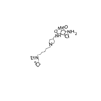 CCN(CCCCCCN1CCC(CNC(=O)c2cc(Cl)c(N)cc2OC)CC1)Cc1cccs1